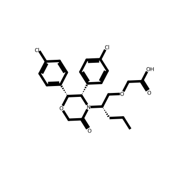 CCC[C@@H](COCC(=O)O)N1C(=O)CO[C@H](c2ccc(Cl)cc2)[C@@H]1c1ccc(Cl)cc1